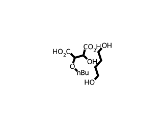 CCCCOC(C(=O)O)C(O)C(=O)O.OCCCCO